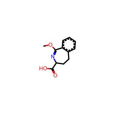 COC1=NC(C(=O)O)CCc2ccccc21